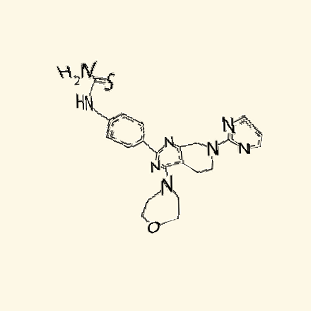 NC(=S)Nc1ccc(-c2nc3c(c(N4CCOCC4)n2)CCN(c2ncccn2)C3)cc1